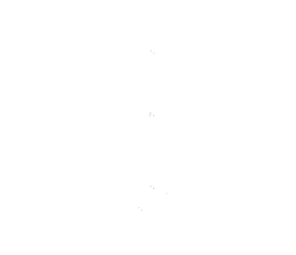 Cc1ccc(C(=O)NNC(=O)CCl)cc1S(=O)(=O)NCCc1ccccn1